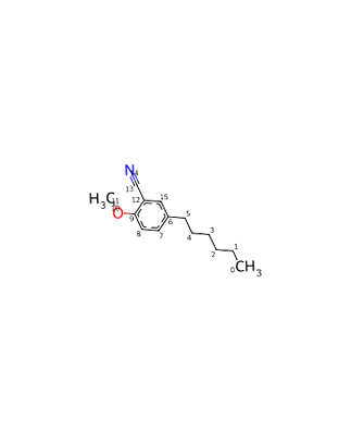 CCCCCCc1ccc(OC)c(C#N)c1